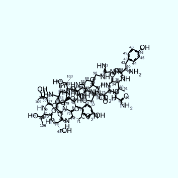 CC(C)[C@H](NC(=O)[C@H](Cc1ccc(O)cc1)NC(=O)[C@H](C)NC(=O)[C@H](C)NC(=O)[C@H](CCC(N)=O)NC(=O)[C@@H](NC(=O)[C@@H](N)Cc1ccc(O)cc1)[C@@H](C)O)C(=O)N[C@H](C(=O)N[C@H](C(=O)N[C@@H](CO)C(=O)N[C@@H](CC(=O)O)C(=O)N1CCC[C@H]1C(=O)N[C@H](C(=O)N[C@@H](CCCNC(=N)N)C(=O)N[C@@H](CO)C(=O)O)[C@@H](C)O)[C@@H](C)O)[C@@H](C)O